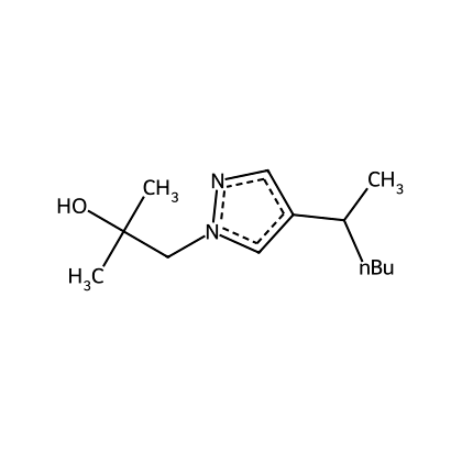 CCCCC(C)c1cnn(CC(C)(C)O)c1